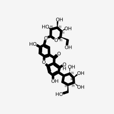 O=c1c2cc(OC3O[C@H](CO)[C@@H](O)[C@H](O)[C@H]3O)c(O)cc2oc2cc(O)c(C3C[C@H](CO)[C@@H](O)[C@H](O)[C@H]3O)c(O)c12